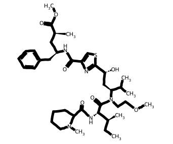 CC[C@H](C)[C@H](NC(=O)C1CCCCN1C)C(=O)N(CCOC)[C@@H](C[C@@H](O)c1nc(C(=O)N[C@@H](Cc2ccccc2)C[C@H](C)C(=O)OC)cs1)C(C)C